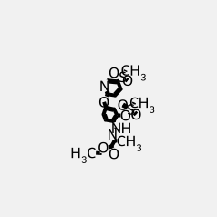 CCOC(=O)/C(C)=N/Nc1ccc(Oc2ccc(S(C)(=O)=O)cn2)cc1OS(C)(=O)=O